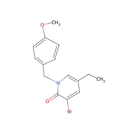 CCc1cc(Br)c(=O)n(Cc2ccc(OC)cc2)c1